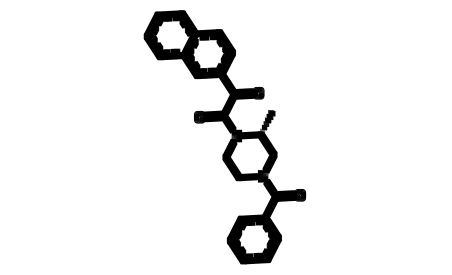 C[C@@H]1CN(C(=O)c2ccccc2)CCN1C(=O)C(=O)c1ccc2ccccc2c1